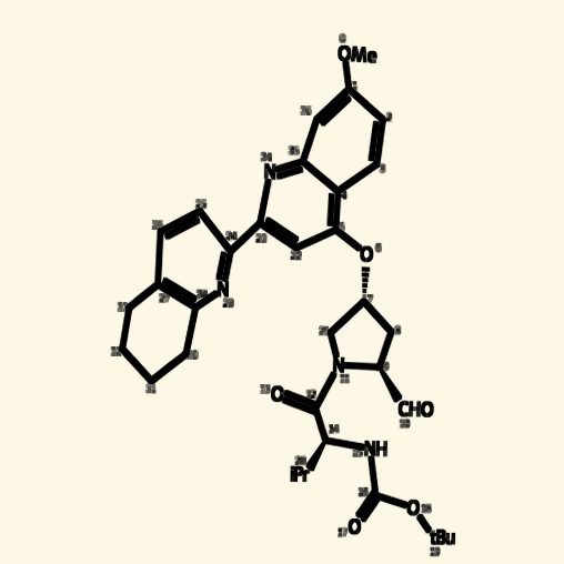 COc1ccc2c(O[C@@H]3C[C@@H](C=O)N(C(=O)[C@@H](NC(=O)OC(C)(C)C)C(C)C)C3)cc(-c3ccc4c(n3)CCCC4)nc2c1